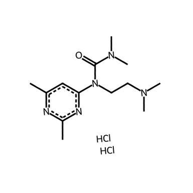 Cc1cc(N(CCN(C)C)C(=O)N(C)C)nc(C)n1.Cl.Cl